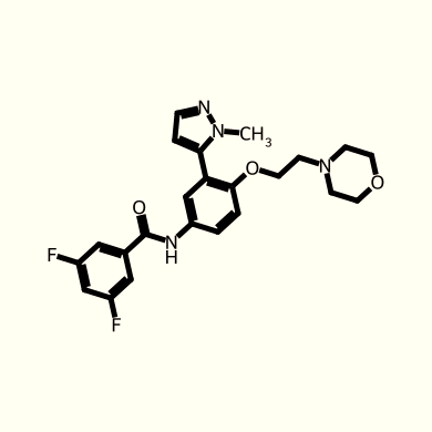 Cn1nccc1-c1cc(NC(=O)c2cc(F)cc(F)c2)ccc1OCCN1CCOCC1